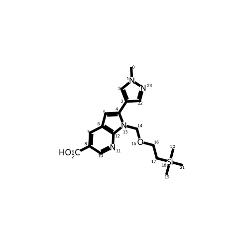 Cn1cc(-c2cc3cc(C(=O)O)cnc3n2COCC[Si](C)(C)C)cn1